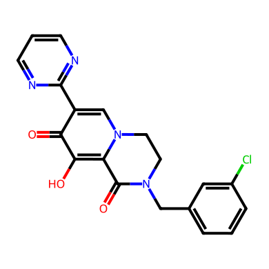 O=C1c2c(O)c(=O)c(-c3ncccn3)cn2CCN1Cc1cccc(Cl)c1